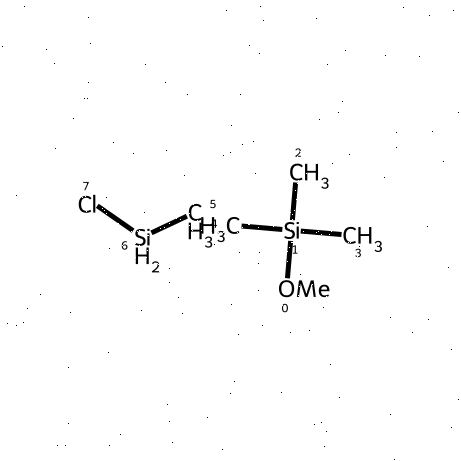 CO[Si](C)(C)C.C[SiH2]Cl